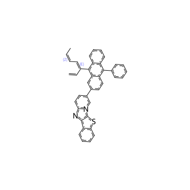 C=C/C(=C\C=C/C)c1c2ccccc2c(-c2ccccc2)c2ccc(-c3ccc4nc5c6ccccc6sc5n4c3)cc12